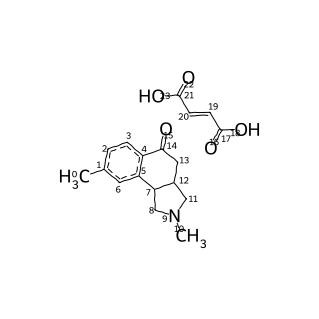 Cc1ccc2c(c1)C1CN(C)CC1CC2=O.O=C(O)C=CC(=O)O